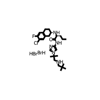 Br.Br.CCC[C@H](N[C@H]1CCc2cc(F)c(Cl)cc2C1)C(=O)Nc1cn(C(C)(C)CNCC(C)(C)C)cn1